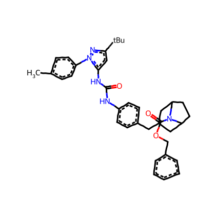 Cc1ccc(-n2nc(C(C)(C)C)cc2NC(=O)Nc2ccc(CC3CC4CCC(C3)N4C(=O)OCc3ccccc3)cc2)cc1